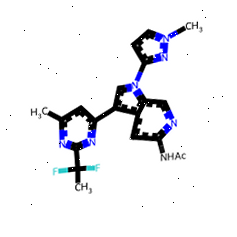 CC(=O)Nc1cc2c(-c3cc(C)nc(C(C)(F)F)n3)cn(-c3ccn(C)n3)c2cn1